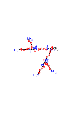 COC(=O)C(CCCCNC(=O)COCCOCCOCCNC(=O)C(CCCCNC(=O)COCCOCCOCCN)NC(=O)COCCOCCOCCN)NC(=O)COCCOCCOCCNC(=O)C(CCCCNC(=O)COCCOCCOCCN)NC(=O)COCCOCCOCCN